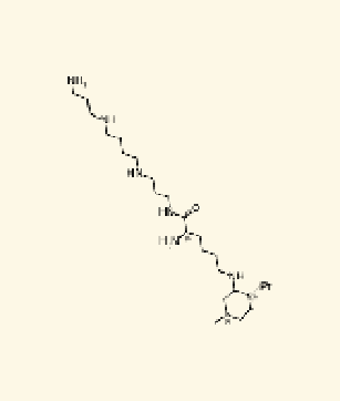 CC(C)[C@@H]1CC[C@@H](C)CC1NCCCC[C@@H](N)C(=O)NCCCNCCCCNCCCN